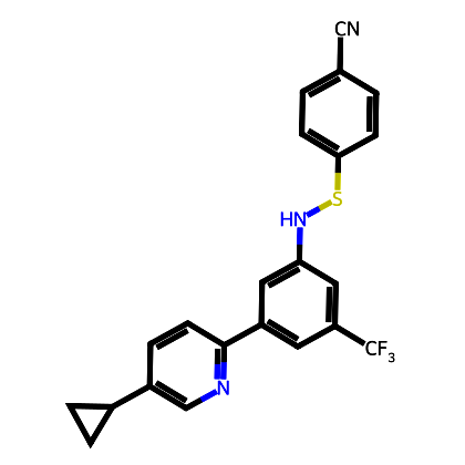 N#Cc1ccc(SNc2cc(-c3ccc(C4CC4)cn3)cc(C(F)(F)F)c2)cc1